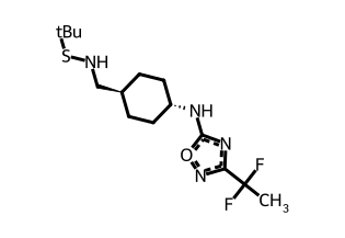 CC(C)(C)SNC[C@H]1CC[C@H](Nc2nc(C(C)(F)F)no2)CC1